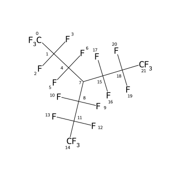 FC(F)(F)C(F)(F)C(F)(F)C(C(F)(F)C(F)(F)C(F)(F)F)C(F)(F)C(F)(F)C(F)(F)F